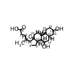 C[C@@H](CCC(=O)O)[C@H]1CC[C@H]2[C@@H]3[C@H](O)C[C@@H]4C[C@H](O)CC[C@]4(C)[C@H]3CC[C@]12C